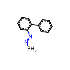 BN=Nc1ccccc1-c1ccccc1